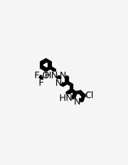 FC(F)Oc1ccccc1CNc1ncc(Cc2c[nH]c3ncc(Cl)cc23)cn1